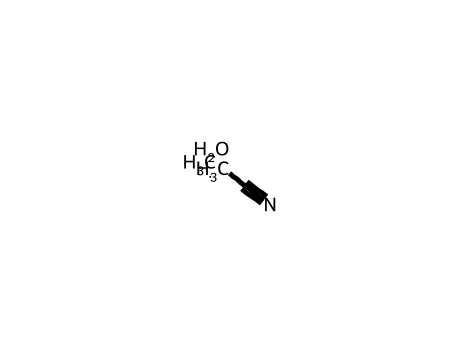 CC#N.O.[CH3]